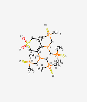 CP(C)(=S)CP(CP(C)(C)=S)C1=C(P(CP(C)(C)=S)CP(C)(C)=S)CS(=O)(=O)CC1